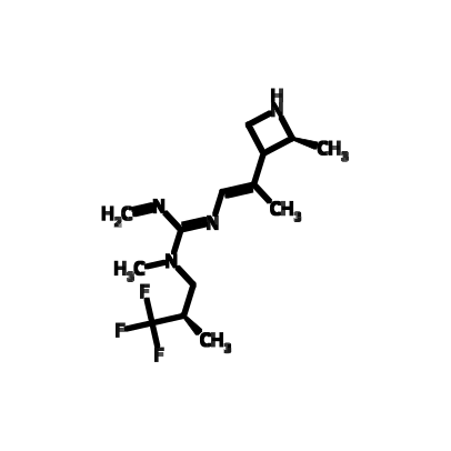 C=N/C(=N\C=C(/C)C1CN[C@H]1C)N(C)C[C@@H](C)C(F)(F)F